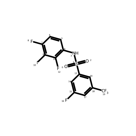 O=S(=O)(Nc1ccc(F)c(I)c1F)c1cc(F)cc(C(F)(F)F)c1